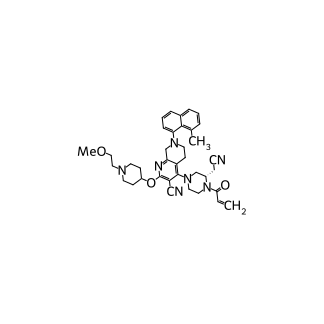 C=CC(=O)N1CCN(c2c(C#N)c(OC3CCN(CCOC)CC3)nc3c2CCN(c2cccc4cccc(C)c24)C3)C[C@@H]1CC#N